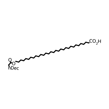 CCCCCCCCCCCC(=O)OCCCCCCCCCCCCCCCCCCCCCCCCCCCCCCC(=O)O